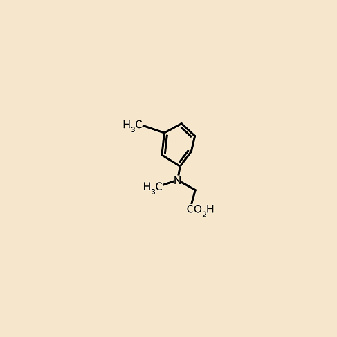 Cc1cccc(N(C)CC(=O)O)c1